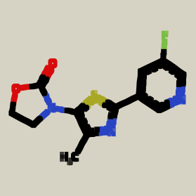 Cc1nc(-c2cncc(F)c2)sc1N1CCOC1=O